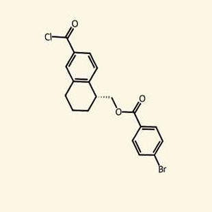 O=C(Cl)c1ccc2c(c1)CCC[C@H]2COC(=O)c1ccc(Br)cc1